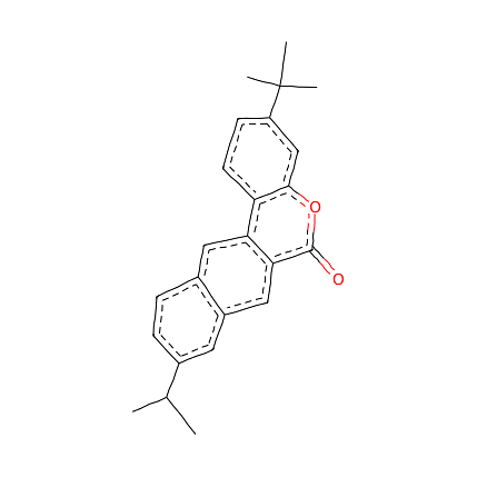 CC(C)c1ccc2cc3c(cc2c1)c(=O)oc1cc(C(C)(C)C)ccc13